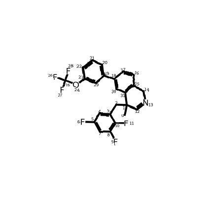 CC1(Cc2cc(F)cc(F)c2F)C=NCc2ccc(-c3cccc(OC(F)(F)F)c3)cc21